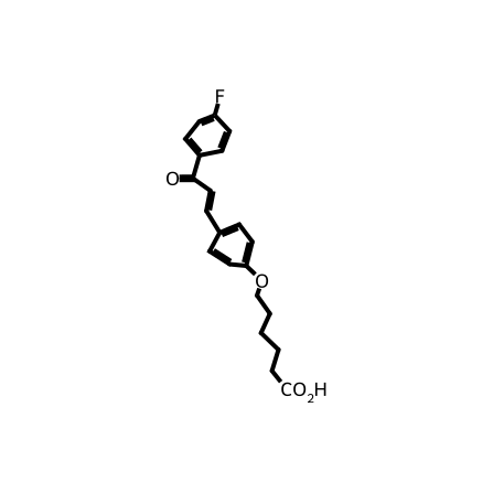 O=C(O)CCCCCOc1ccc(/C=C/C(=O)c2ccc(F)cc2)cc1